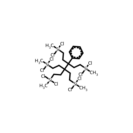 C[Si](Cl)(Cl)CCC(CC[Si](C)(Cl)Cl)(CC[Si](C)(Cl)Cl)C(CC[Si](C)(Cl)Cl)(CC[Si](C)(Cl)Cl)c1ccccc1